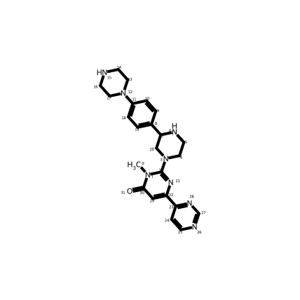 Cn1c(N2CCNC(c3ccc(N4CCNCC4)cc3)C2)nc(-c2ccncn2)cc1=O